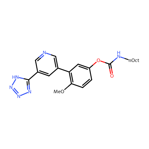 CCCCCCCCNC(=O)Oc1ccc(OC)c(-c2cncc(-c3nnn[nH]3)c2)c1